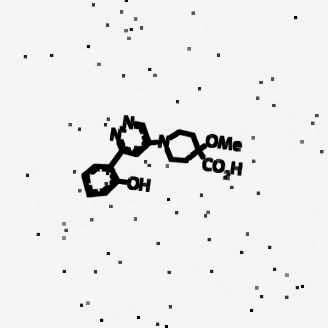 COC1(C(=O)O)CCN(c2cnnc(-c3ccccc3O)c2)CC1